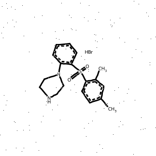 Br.Cc1ccc(S(=O)(=O)c2ccccc2N2CCNCC2)c(C)c1